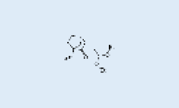 C=CC12CCC(CC1=O)C2.CCOC(C)OCC